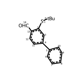 CC(C)(C)Sc1cc(-c2ccccc2)ccc1C=O